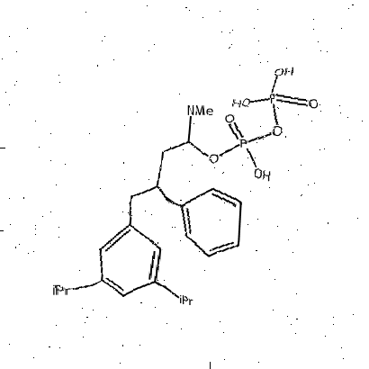 CNC(CC(Cc1cc(C(C)C)cc(C(C)C)c1)c1ccccc1)OP(=O)(O)OP(=O)(O)O